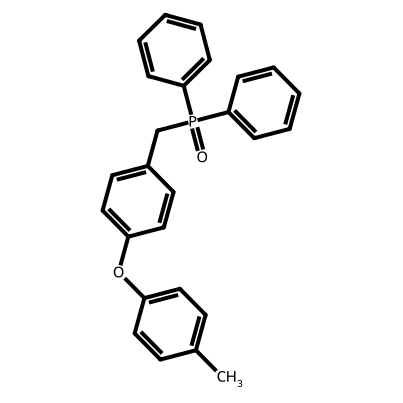 Cc1ccc(Oc2ccc(CP(=O)(c3ccccc3)c3ccccc3)cc2)cc1